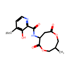 COc1ccnc(C(=O)NC2CC(=O)OCC(C)COC2=O)c1O